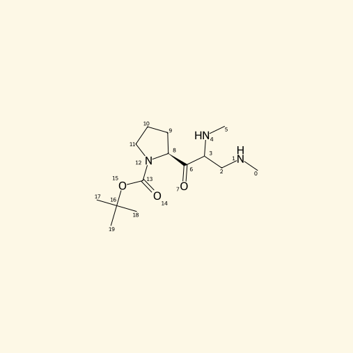 CNCC(NC)C(=O)[C@@H]1CCCN1C(=O)OC(C)(C)C